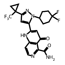 NC(=O)c1nccc2[nH]c(-c3cc(C4(C(F)(F)F)CC4)nn3C3CCC(F)(F)CC3)cc(=O)c12